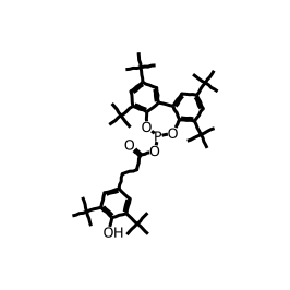 CC(C)(C)c1cc(C(C)(C)C)c2op(OC(=O)CCc3cc(C(C)(C)C)c(O)c(C(C)(C)C)c3)oc3c(C(C)(C)C)cc(C(C)(C)C)cc3c2c1